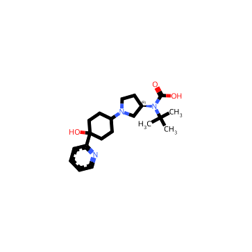 CC(C)(C)N(C(=O)O)[C@@H]1CCN(C2CCC(O)(c3ccccn3)CC2)C1